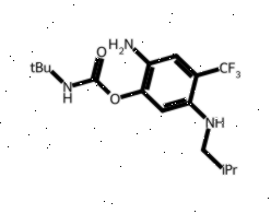 CC(C)CNc1cc(OC(=O)NC(C)(C)C)c(N)cc1C(F)(F)F